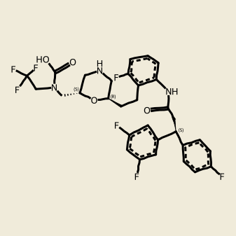 O=C(C[C@@H](c1ccc(F)cc1)c1cc(F)cc(F)c1)Nc1cccc(F)c1CC[C@@H]1CNC[C@@H](CN(CC(F)(F)F)C(=O)O)O1